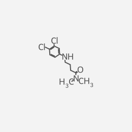 CN(C)C(=O)CCCNc1ccc(Cl)c(Cl)c1